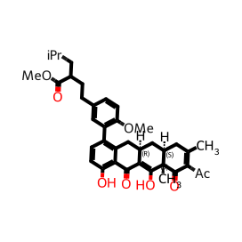 COC(=O)C(CCc1ccc(OC)c(-c2ccc(O)c3c2C[C@H]2C[C@H]4CC(C)=C(C(C)=O)C(=O)[C@]4(C)C(O)=C2C3=O)c1)CC(C)C